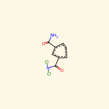 NC(=O)c1cccc(C(=O)N(Cl)Cl)c1